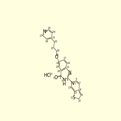 Cl.O=c1[nH]c(N2C=CC3=CCSC3=C2)nc2ccc(OCCCc3ccncc3)cc12